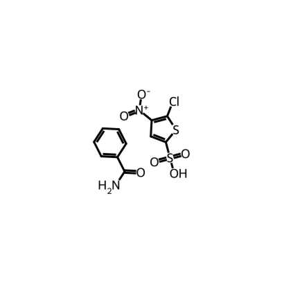 NC(=O)c1ccccc1.O=[N+]([O-])c1cc(S(=O)(=O)O)sc1Cl